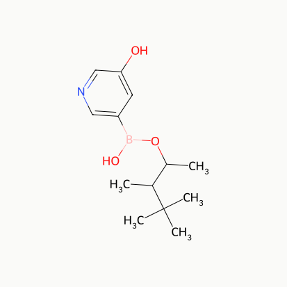 CC(OB(O)c1cncc(O)c1)C(C)C(C)(C)C